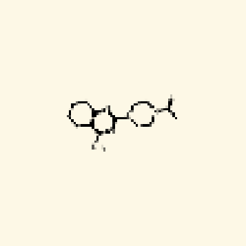 CC(=O)N1CCN(c2nc(N)c3c(n2)CCCC3)CC1